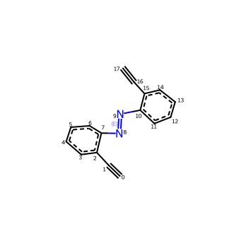 C#Cc1ccccc1/N=N/c1ccccc1C#C